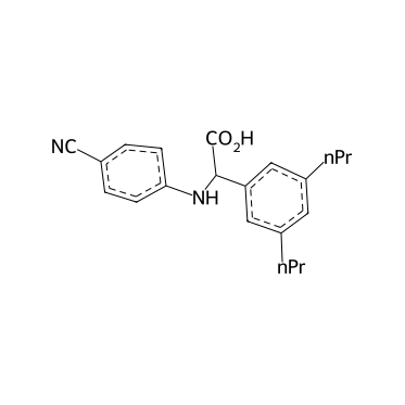 CCCc1cc(CCC)cc(C(Nc2ccc(C#N)cc2)C(=O)O)c1